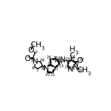 COCC(=O)N1CCC(n2ccc3cc(Nc4cnn(C)c(=O)c4C)ccc32)C1